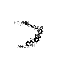 COc1ccc(C(=O)Nc2ccc3oc(-c4ccc(=O)n(CCOCCOCCNC(=O)O)n4)nc3c2)nc1